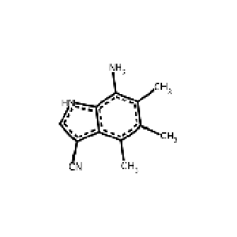 Cc1c(C)c(C)c2c(C#N)c[nH]c2c1N